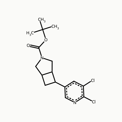 CC(C)(C)OC(=O)N1CC2CC(c3cnc(Cl)c(Cl)c3)C2C1